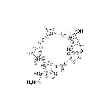 C=C1CC2CC[C@]34C[C@@H](O)C(O3)C3CC(O4)[C@H]4OC(CCC4O3)CC(=O)CC3[C@H](C[C@H]4OC(CCC1O2)C[C@@H](C)C4=C)O[C@H](CC(O)CN)[C@@H]3OC